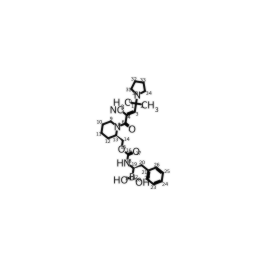 CC(C)(/C=C(\C#N)C(=O)N1CCCC[C@@H]1COC(=O)N[C@@H](Cc1ccccc1)B(O)O)N1CCCC1